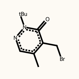 Cc1cnn(C(C)(C)C)c(=O)c1CBr